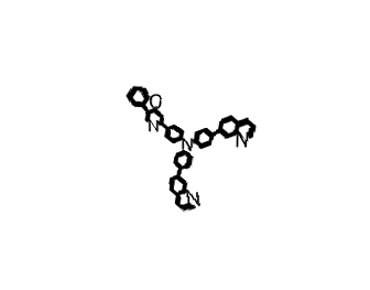 c1cnc2cc(-c3ccc(N(c4ccc(-c5ccc6cccnc6c5)cc4)c4ccc(-c5cc6oc7ccccc7c6cn5)cc4)cc3)ccc2c1